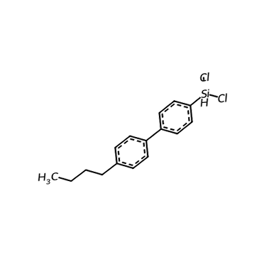 CCCCc1ccc(-c2ccc([SiH](Cl)Cl)cc2)cc1